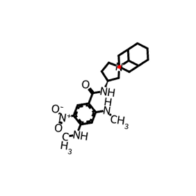 CNc1cc(NC)c([N+](=O)[O-])cc1C(=O)N[C@H]1CCN(C2C3CCCC2CCC3)C1